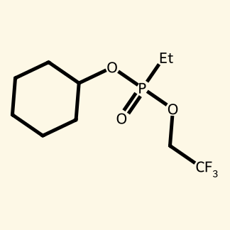 CCP(=O)(OCC(F)(F)F)OC1CCCCC1